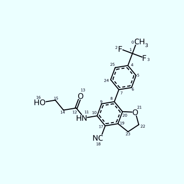 CC(F)(F)c1ccc(-c2cc(NC(=O)CCO)c(C#N)c3c2OCC3)cc1